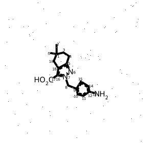 CC1(C)CCc2nn(Cc3ccc(N)cc3)c(C(=O)O)c2C1